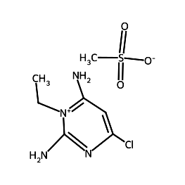 CC[n+]1c(N)cc(Cl)nc1N.CS(=O)(=O)[O-]